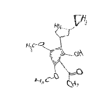 COc1cc(OC)c(C2CNC(C)C2)c(O)c1C(C)=O